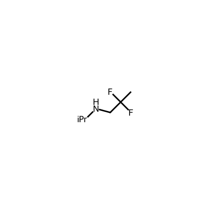 CC(C)NCC(C)(F)F